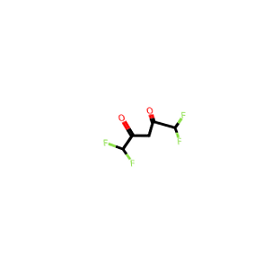 O=C(CC(=O)C(F)F)C(F)F